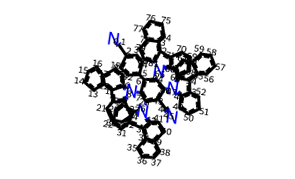 N#Cc1ccc(-c2c(-n3c4c(c5c6ccccc6ccc53)C=CCC4)c(-n3c4ccccc4c4c5ccccc5ccc43)c(C#N)c(-n3c4ccccc4c4c5ccccc5ccc43)c2-n2c3ccccc3c3c4ccccc4ccc32)cc1